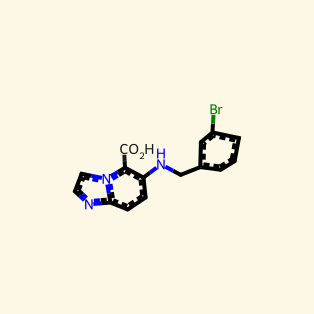 O=C(O)c1c(NCc2cccc(Br)c2)ccc2nccn12